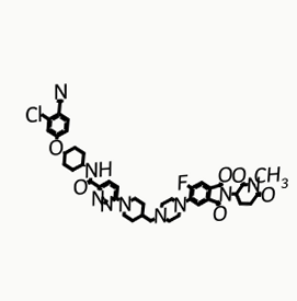 CN1C(=O)CCC(N2C(=O)c3cc(F)c(N4CCN(CC5CCN(c6ccc(C(=O)N[C@H]7CC[C@H](Oc8ccc(C#N)c(Cl)c8)CC7)nn6)CC5)CC4)cc3C2=O)C1=O